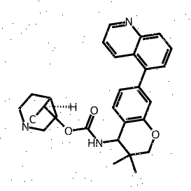 CC1(C)COc2cc(-c3cccc4ncccc34)ccc2C1NC(=O)O[C@H]1CN2CCC1CC2